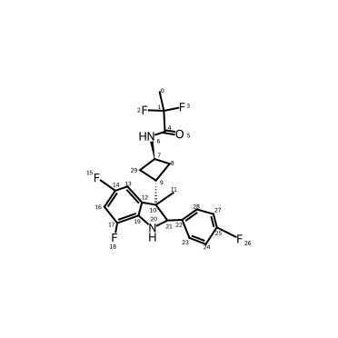 CC(F)(F)C(=O)N[C@H]1C[C@H](C2(C)c3cc(F)cc(F)c3NC2c2ccc(F)cc2)C1